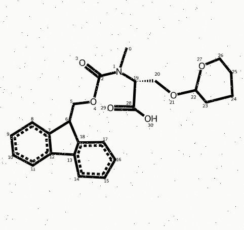 CN(C(=O)OCC1c2ccccc2-c2ccccc21)[C@H](COC1CCCCO1)C(=O)O